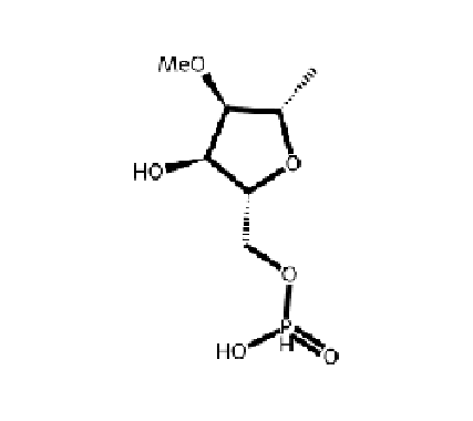 CO[C@@H]1[C@H](O)[C@@H](CO[PH](=O)O)O[C@H]1C